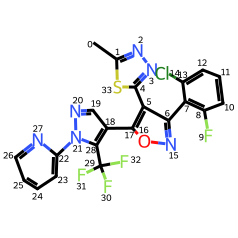 Cc1nnc(-c2c(-c3c(F)cccc3Cl)noc2-c2cnn(-c3ccccn3)c2C(F)(F)F)s1